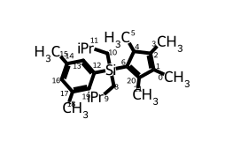 CC1=C(C)C(C)C([Si](CC(C)C)(CC(C)C)c2cc(C)cc(C)c2)=C1C